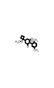 CSC1(C2CC(=O)C(c3cc(C)ccc3C)=C(O)C2)CCC1